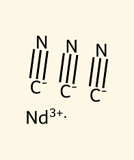 [C-]#N.[C-]#N.[C-]#N.[Nd+3]